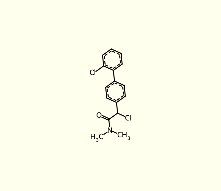 CN(C)C(=O)C(Cl)c1ccc(-c2ccccc2Cl)cc1